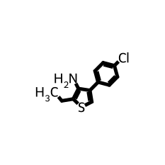 CCc1scc(-c2ccc(Cl)cc2)c1N